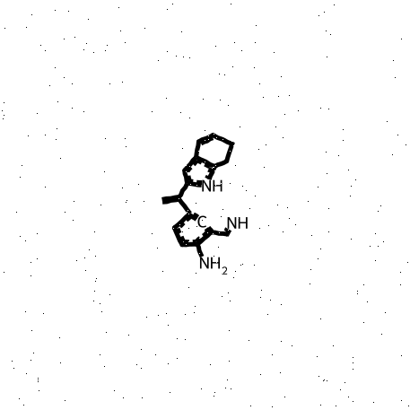 C=C(c1ccc(N)c(C=N)c1)c1cc2c([nH]1)CCC=C2